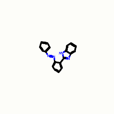 c1ccc(N=Nc2ccccc2-c2nc3ccccc3[nH]2)cc1